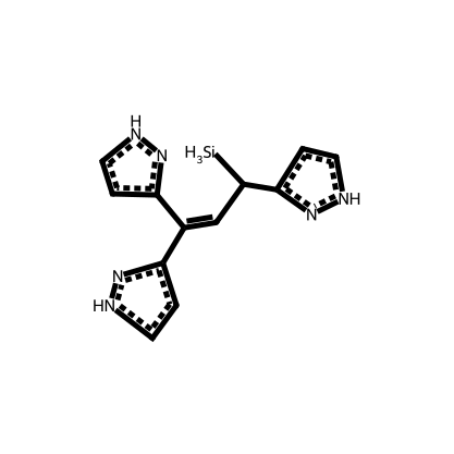 [SiH3]C(C=C(c1cc[nH]n1)c1cc[nH]n1)c1cc[nH]n1